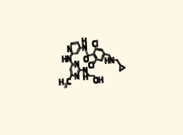 Cc1cc(Nc2cc(NC(=O)c3c(Cl)cc(CNCC4CC4)cc3Cl)ccn2)nc(NCCO)n1